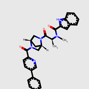 C[C@@H](C(=O)N1C[C@@H]2C[C@H]1CN2C(=O)c1ccc(-c2ccccc2)cn1)N(C)C(=O)c1cc2ccccc2[nH]1